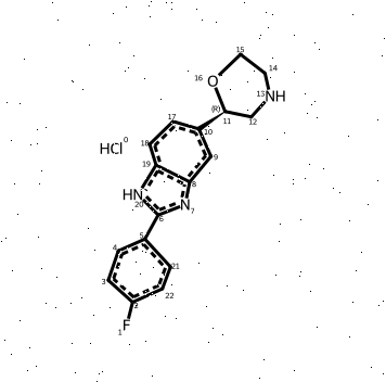 Cl.Fc1ccc(-c2nc3cc([C@@H]4CNCCO4)ccc3[nH]2)cc1